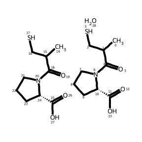 CC(CS)C(=O)N1CCC[C@H]1C(=O)O.CC(CS)C(=O)N1CCC[C@H]1C(=O)O.O